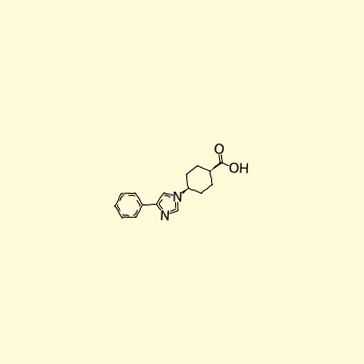 O=C(O)[C@H]1CC[C@@H](n2cnc(-c3ccccc3)c2)CC1